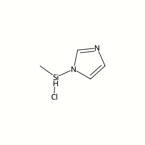 C[SiH](Cl)n1ccnc1